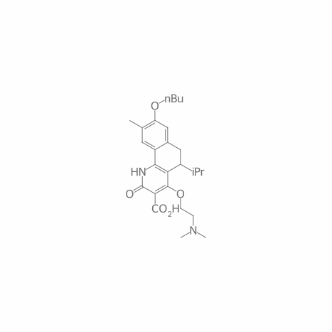 CCCCOc1cc2c(cc1C)-c1[nH]c(=O)c(C(=O)O)c(OCCN(C)C)c1C(C(C)C)C2